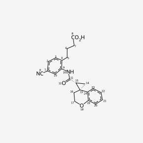 N#Cc1ccc(CCCC(=O)O)c(NC(=O)[C@@H]2C[C@]23CCOc2ccccc23)c1